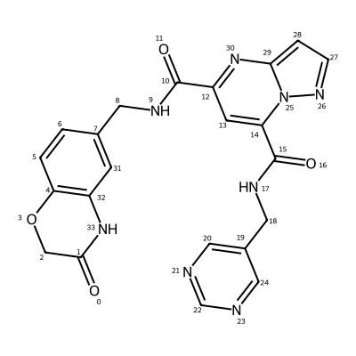 O=C1COc2ccc(CNC(=O)c3cc(C(=O)NCc4cncnc4)n4nccc4n3)cc2N1